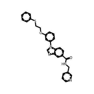 O=C(NCc1cccnc1)c1ccc2c(c1)ncn2-c1cccc(OCCSc2ccccc2)c1